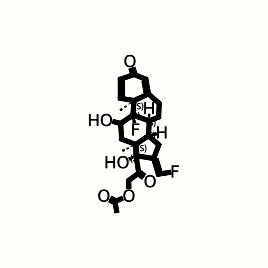 CC(=O)OCC(=O)[C@@]1(O)C(=CF)C[C@H]2[C@@H]3CCC4=CC(=O)C=C[C@]4(C)[C@@]3(F)C(O)C[C@@]21C